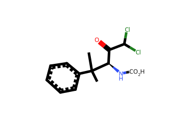 CC(C)(c1ccccc1)[C@H](NC(=O)O)C(=O)C(Cl)Cl